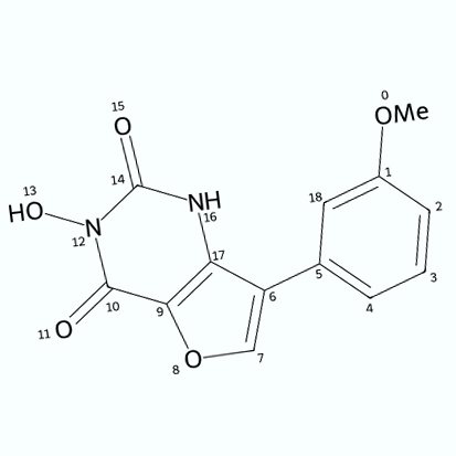 COc1cccc(-c2coc3c(=O)n(O)c(=O)[nH]c23)c1